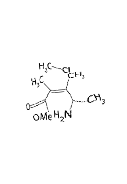 CCl.COC(=O)C(C)=C(C)C(C)N